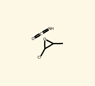 CC1OC1Cl.N=C=O